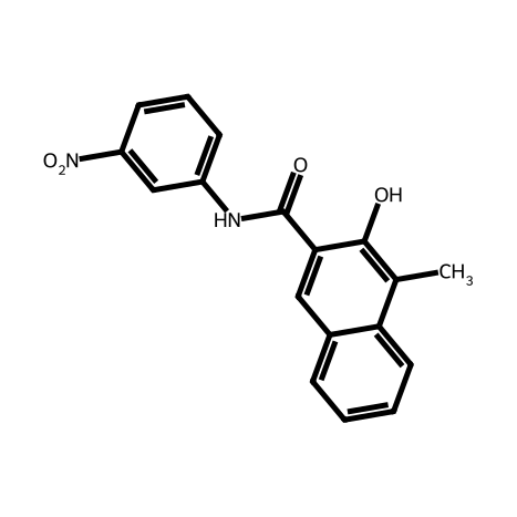 Cc1c(O)c(C(=O)Nc2cccc([N+](=O)[O-])c2)cc2ccccc12